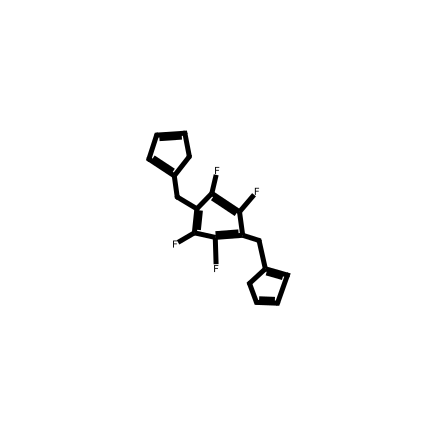 Fc1c(F)c(CC2=CC=CC2)c(F)c(F)c1CC1=CC=CC1